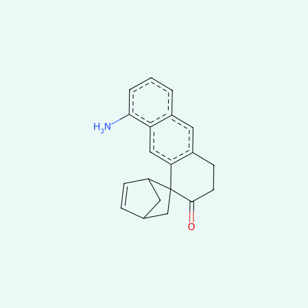 Nc1cccc2cc3c(cc12)C1(CC2C=CC1C2)C(=O)CC3